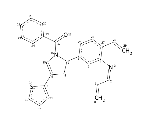 C=C/C=N\c1cc(C2CC(c3cccs3)=CN2C(=O)c2ccccc2)ccc1C=C